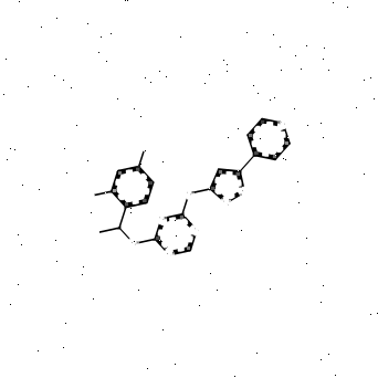 CC(Nc1ncnc(Nc2cc(-c3ccncc3)[nH]n2)n1)c1ccc(F)cc1F